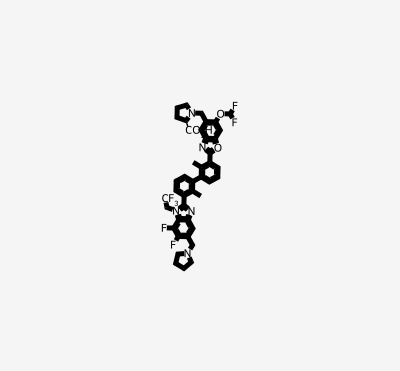 Cc1c(-c2nc3cc(CN4CCC[C@H]4C(=O)O)c(OC(F)F)cc3o2)cccc1-c1cccc(-c2nc3cc(CN4CCCC4)c(F)c(F)c3n2CC(F)(F)F)c1C